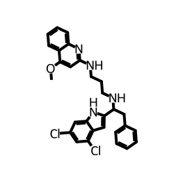 COc1cc(NCCCNC(Cc2ccccc2)c2cc3c(Cl)cc(Cl)cc3[nH]2)nc2ccccc12